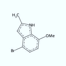 COc1ccc(Br)c2cc(C)[nH]c12